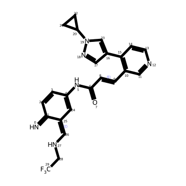 N=C1C=CC(NC(=O)/C=C/c2cnccc2-c2cnn(C3CC3)c2)=C/C1=C/NCC(F)(F)F